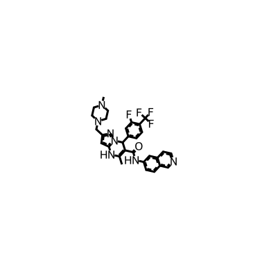 CC1=C(C(=O)Nc2ccc3cnccc3c2)C(c2ccc(C(F)(F)F)c(F)c2)n2nc(CN3CCN(C)CC3)cc2N1